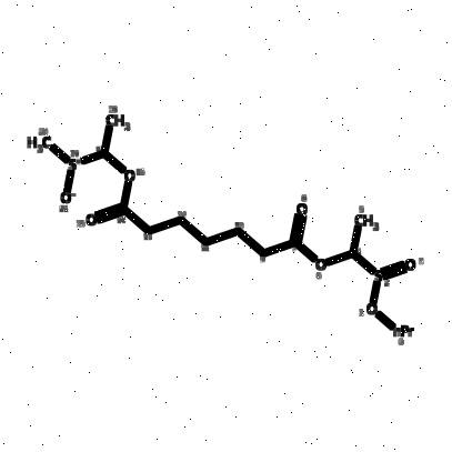 CCCOS(=O)C(C)OC(=O)CCCCCC(=O)OC(C)[S+](C)[O-]